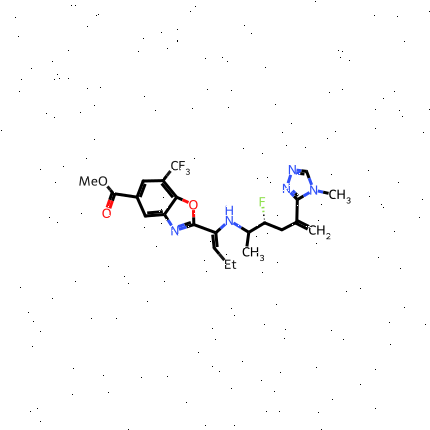 C=C(C[C@@H](F)C(C)N/C(=C\CC)c1nc2cc(C(=O)OC)cc(C(F)(F)F)c2o1)c1nncn1C